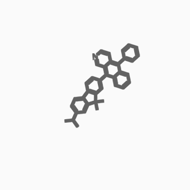 CC(C)c1ccc2c(c1)C(C)(C)c1cc(-c3c4ccccc4c(-c4ccccc4)c4ccncc34)ccc1-2